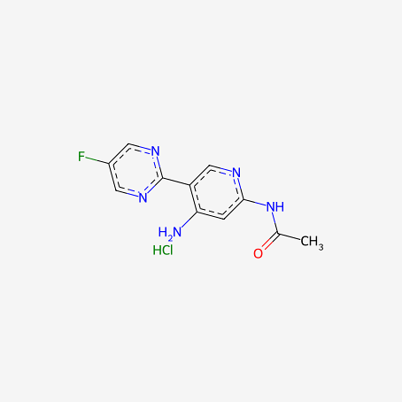 CC(=O)Nc1cc(N)c(-c2ncc(F)cn2)cn1.Cl